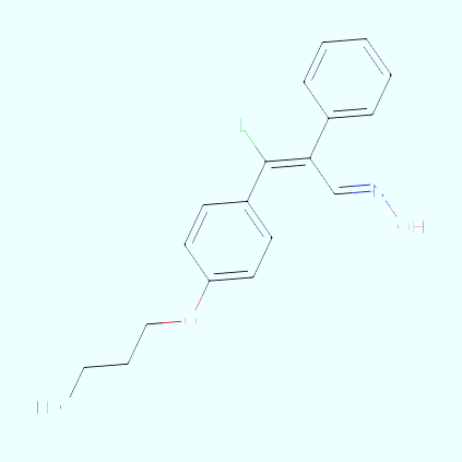 CCCCOc1ccc(C(Cl)=C(C=NO)c2ccccc2)cc1